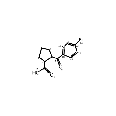 O=C(O)C1CCCC1C(=O)c1ccc(Br)cn1